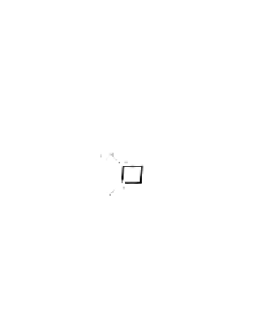 N[C@@H]1CC[S@+]1[O-]